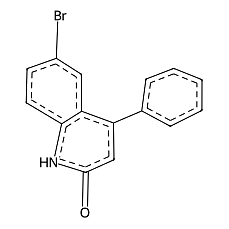 O=c1cc(-c2ccccc2)c2cc(Br)ccc2[nH]1